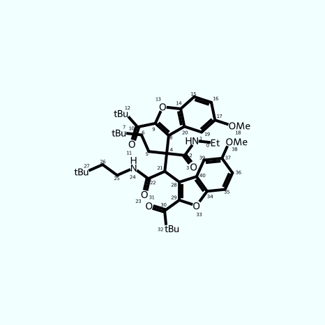 CCNC(=O)C(CCC(C)(C)C)(c1c(C(=O)C(C)(C)C)oc2ccc(OC)cc12)C(C(=O)NCCC(C)(C)C)c1c(C(=O)C(C)(C)C)oc2ccc(OC)cc12